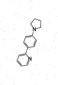 c1ccc(-c2ccc(N3CCCC3)cc2)nc1